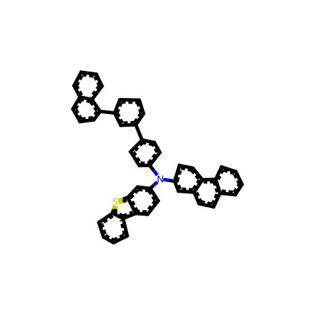 c1cc(-c2ccc(N(c3ccc4c(ccc5ccccc54)c3)c3ccc4c(c3)sc3ccccc34)cc2)cc(-c2cccc3ccccc23)c1